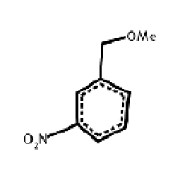 COCc1cccc([N+](=O)[O-])c1